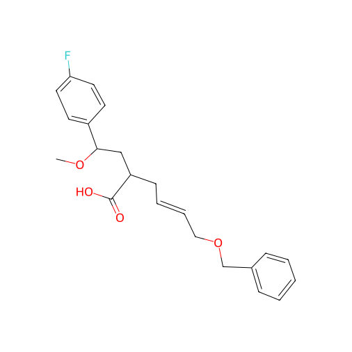 COC(CC(CC=CCOCc1ccccc1)C(=O)O)c1ccc(F)cc1